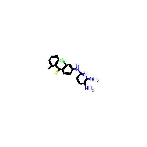 Cc1ccccc1C(=S)c1ccc(Nc2ccc(N)c(N)n2)cc1Cl